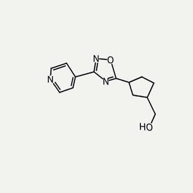 OCC1CCC(c2nc(-c3ccncc3)no2)C1